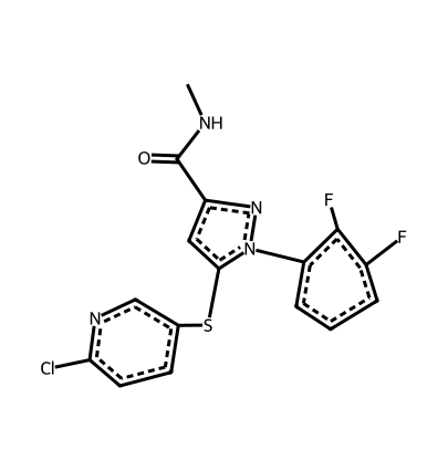 CNC(=O)c1cc(Sc2ccc(Cl)nc2)n(-c2cccc(F)c2F)n1